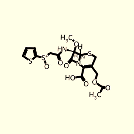 CO[C@@]1(NC(=O)C[S+]([O-])c2cccs2)C(=O)N2C(C(=O)O)=C(COC(C)=O)CS[C@H]21